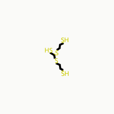 SCCCCSCC(CS)SCCCCS